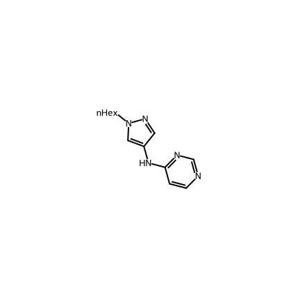 CCCCCCn1cc(Nc2ccncn2)cn1